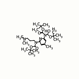 Cc1cc(N(CCCN(C)C)C(=O)OC(C)(C)C)nc(N(C(=O)OC(C)(C)C)C(O)OC(C)(C)C)c1